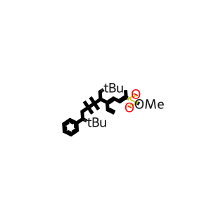 C=C/C(=C\C=C(/C)S(=O)(=O)OC)C(CC(C)(C)C)C(C)(C)C(C)(C)CC(c1ccccc1)C(C)(C)C